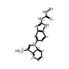 CCNC(=O)Nc1nc2cc(-n3cc(C(=O)O)c4ncccc43)ccc2[nH]1